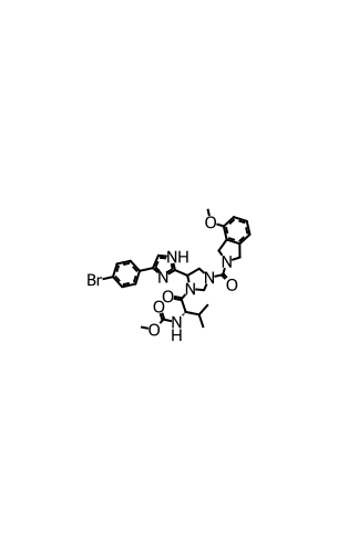 COC(=O)N[C@H](C(=O)N1CN(C(=O)N2Cc3cccc(OC)c3C2)CC1c1nc(-c2ccc(Br)cc2)c[nH]1)C(C)C